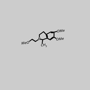 COCCN1CCc2cc(OC)c(OC)cc2C1C